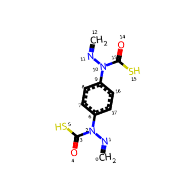 C=NN(C(=O)S)c1ccc(N(N=C)C(=O)S)cc1